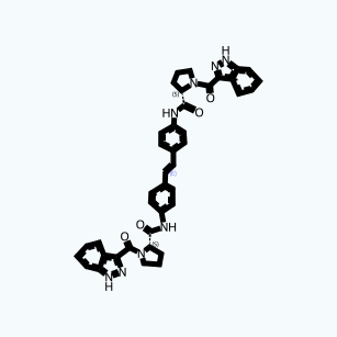 O=C(Nc1ccc(/C=C/c2ccc(NC(=O)[C@@H]3CCCN3C(=O)c3n[nH]c4ccccc34)cc2)cc1)[C@@H]1CCCN1C(=O)c1n[nH]c2ccccc12